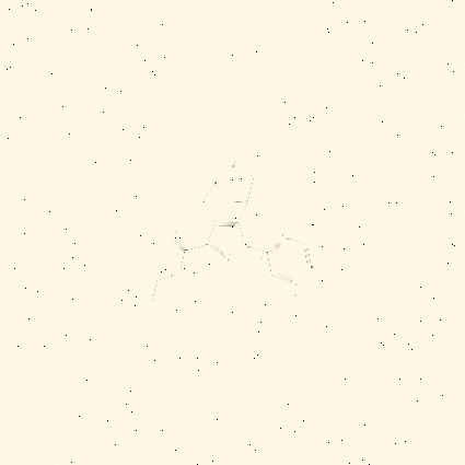 CCOC(=O)c1nn(-c2cnccn2)c2c1CC1CCC2O1